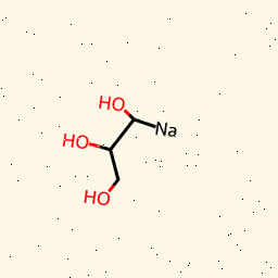 OCC(O)[CH](O)[Na]